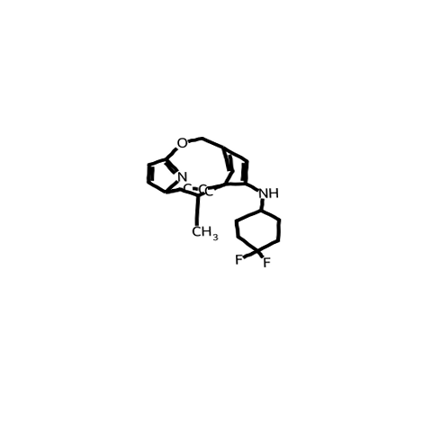 CC1CC23C=CC(=N2)OCC2=CC(CC3)(C1)C(NC1CCC(F)(F)CC1)=C2